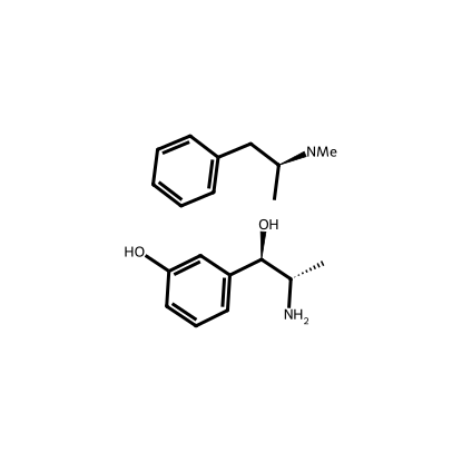 CN[C@@H](C)Cc1ccccc1.C[C@H](N)[C@H](O)c1cccc(O)c1